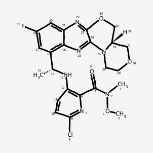 CON(C)C(=O)c1nc(Cl)ccc1N[C@H](C)c1cc(F)cc2nc3c(nc12)N1CCOC[C@H]1CO3